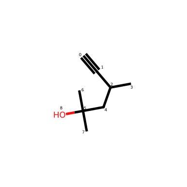 C#CC(C)CC(C)(C)O